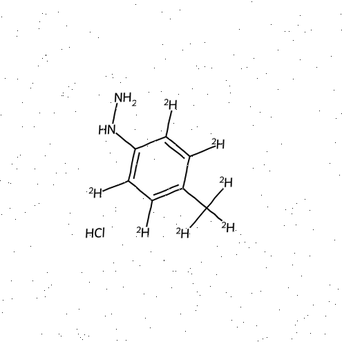 Cl.[2H]c1c([2H])c(C([2H])([2H])[2H])c([2H])c([2H])c1NN